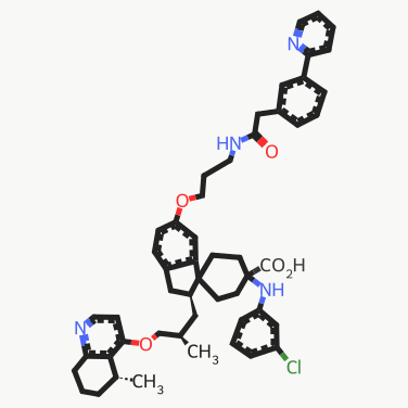 C[C@@H](COc1ccnc2c1[C@H](C)CCC2)C[C@H]1Cc2ccc(OCCCNC(=O)Cc3cccc(-c4ccccn4)c3)cc2C12CCC(Nc1cccc(Cl)c1)(C(=O)O)CC2